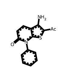 CC(=O)c1sc2c(ccc(=O)n2-c2ccccc2)c1N